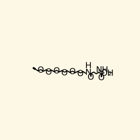 C#CCOCCOCCOCCOCCOCCOCCNC(=O)CC[C@@H](N)C(=O)O